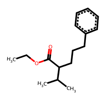 CCOC(=O)C(CCCc1ccccc1)C(C)C